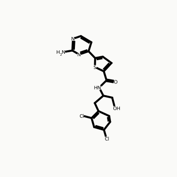 Nc1nccc(-c2ccc(C(=O)NC(CO)Cc3ccc(Cl)cc3Cl)s2)n1